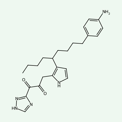 CCCCC(CCCCc1ccc(N)cc1)c1cc[nH]c1CC(=O)C(=O)c1nc[nH]n1